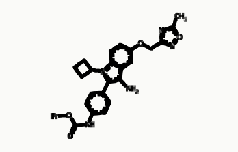 Cc1nc(COc2ccc3c(c2)c(N)c(-c2ccc(NC(=O)OC(C)C)cc2)n3C2CCC2)no1